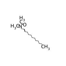 CCCCCCCCCC/C=C/CN(C)C(C)=O